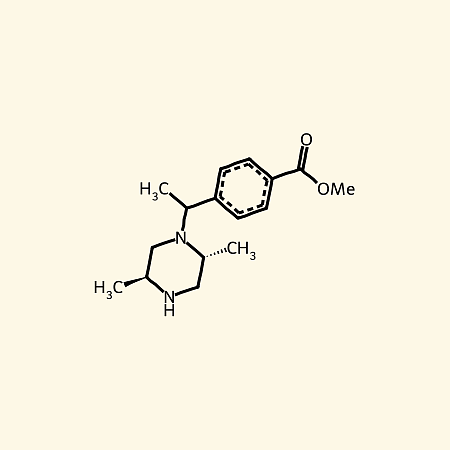 COC(=O)c1ccc(C(C)N2C[C@H](C)NC[C@H]2C)cc1